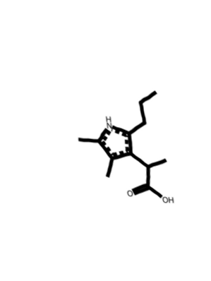 CCCc1[nH]c(C)c(C)c1C(C)C(=O)O